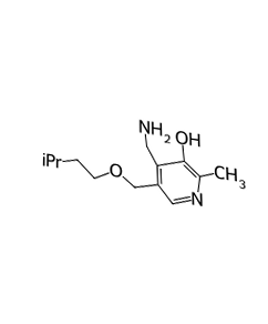 Cc1ncc(COCCC(C)C)c(CN)c1O